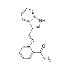 NC(=O)c1ccccc1/N=C/c1c[nH]c2ccccc12